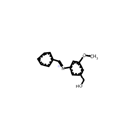 COc1cc(CO)cc(/N=C/c2ccccc2)c1